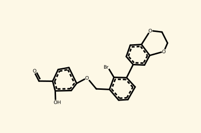 O=Cc1ccc(OCc2cccc(-c3ccc4c(c3)OCCO4)c2Br)cc1O